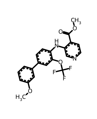 COC(=O)c1ccncc1Nc1ccc(-c2cccc(OC)c2)cc1OC(F)(F)F